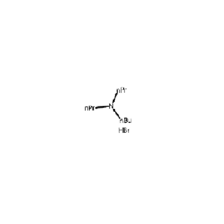 Br.CCCCN(CCC)CCC